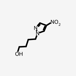 O=[N+]([O-])c1cnn(CCCCO)c1